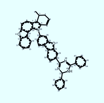 CC1CC=Cc2c1c1ccc3oc4ccccc4c3c1n2-c1ccc2c(c1)oc1cc(C3=NC(c4ccccc4)NC(c4ccccc4)=N3)ccc12